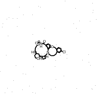 O=C1NS(=O)(=O)CCC[C@@]2(O)CCO[C@H](C2)[C@@H]2CC[C@H]2CN2CCCCc3cc(Cl)ccc3COc3ccc1cc32